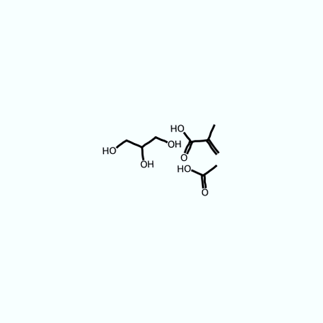 C=C(C)C(=O)O.CC(=O)O.OCC(O)CO